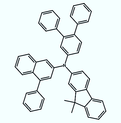 CC1(C)c2ccccc2-c2ccc(N(c3ccc(-c4ccccc4)c(-c4ccccc4)c3)c3cc(-c4ccccc4)c4ccccc4c3)cc21